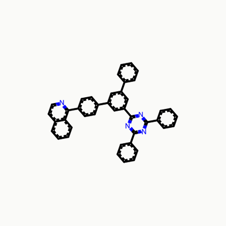 c1ccc(-c2cc(-c3ccc(-c4nccc5ccccc45)cc3)cc(-c3nc(-c4ccccc4)nc(-c4ccccc4)n3)c2)cc1